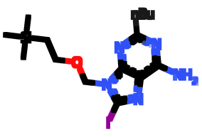 CCCCc1nc(N)c2nc(I)n(COCC[Si](C)(C)C)c2n1